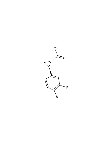 O=C(Cl)[C@H]1C[C@@H]1c1ccc(Br)c(F)c1